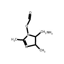 CC1=NC(C)C(C)N1OC=O.N